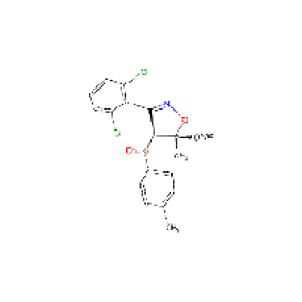 CO[C@]1(C(F)(F)F)ON=C(c2c(Cl)cccc2Cl)[C@@H]1[S@@+]([O-])c1ccc(C)cc1